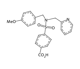 COc1ccc(CN(Cc2ccccn2)S(=O)(=O)c2ccc(C(=O)O)cc2)cc1